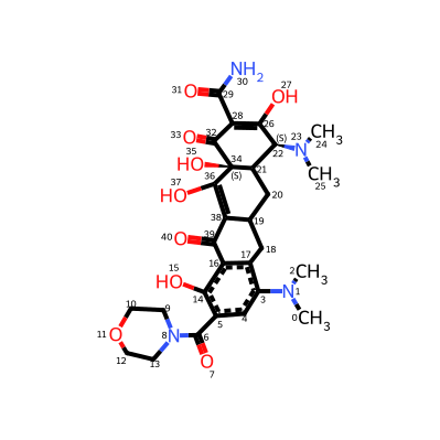 CN(C)c1cc(C(=O)N2CCOCC2)c(O)c2c1CC1CC3[C@H](N(C)C)C(O)=C(C(N)=O)C(=O)[C@@]3(O)C(O)=C1C2=O